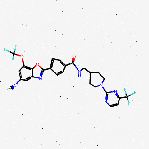 [C-]#[N+]c1cc(OC(F)(F)F)c2oc(-c3ccc(C(=O)NCC4CCN(c5nccc(C(F)(F)F)n5)CC4)cc3)nc2c1